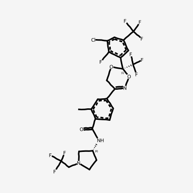 Cc1cc(C2=NO[C@@](c3cc(C(F)(F)F)cc(Cl)c3F)(C(F)(F)F)OC2)ccc1C(=O)N[C@@H]1CCN(CC(F)(F)F)C1